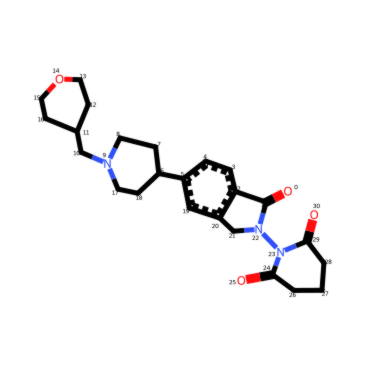 O=C1c2ccc(C3CCN(CC4CCOCC4)CC3)cc2CN1N1C(=O)CCCC1=O